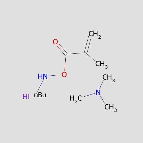 C=C(C)C(=O)ONCCCC.CN(C)C.I